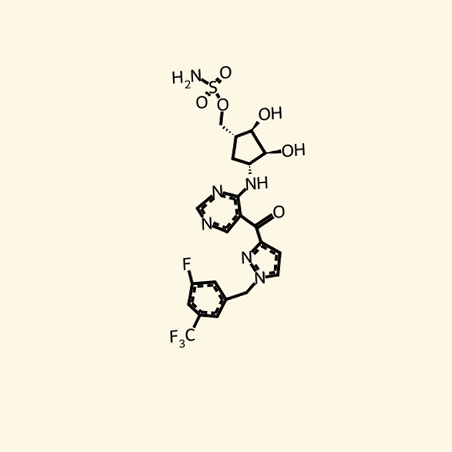 NS(=O)(=O)OC[C@H]1C[C@@H](Nc2ncncc2C(=O)c2ccn(Cc3cc(F)cc(C(F)(F)F)c3)n2)[C@H](O)[C@@H]1O